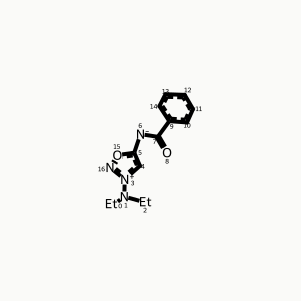 CCN(CC)[n+]1cc([N-]C(=O)c2ccccc2)on1